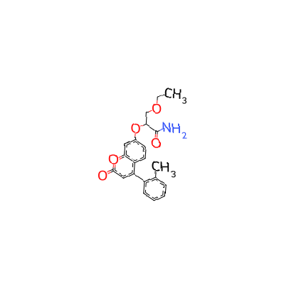 CCOCC(Oc1ccc2c(-c3ccccc3C)cc(=O)oc2c1)C(N)=O